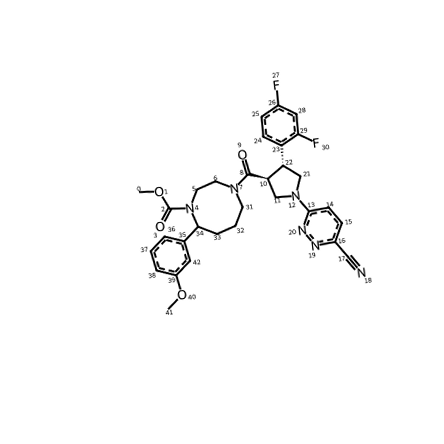 COC(=O)N1CCN(C(=O)[C@@H]2CN(c3ccc(C#N)nn3)C[C@H]2c2ccc(F)cc2F)CCCC1c1cccc(OC)c1